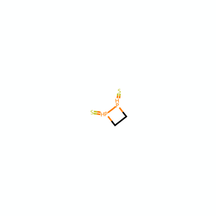 S=[PH]1CC[PH]1=S